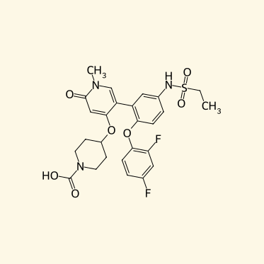 CCS(=O)(=O)Nc1ccc(Oc2ccc(F)cc2F)c(-c2cn(C)c(=O)cc2OC2CCN(C(=O)O)CC2)c1